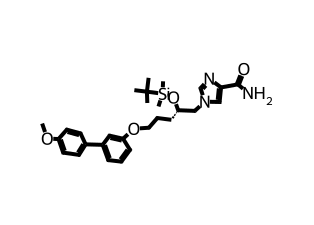 COc1ccc(-c2cccc(OCCC[C@@H](Cn3cnc(C(N)=O)c3)O[Si](C)(C)C(C)(C)C)c2)cc1